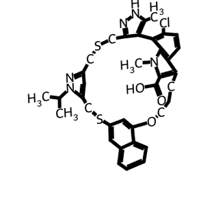 Cc1[nH]nc2c1-c1c(Cl)ccc3c(c(C(=O)O)n(C)c13)CCCOc1cc(cc3ccccc13)SCc1cc(nn1C(C)C)CSC2